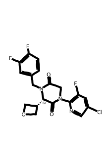 O=C1[C@H](C2COC2)N(Cc2ccc(F)c(F)c2)C(=O)CN1c1ncc(Cl)cc1F